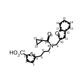 O=C(O)c1ccc(CCCN(Cc2cc3ccccc3o2)C(=O)C2CC2)s1